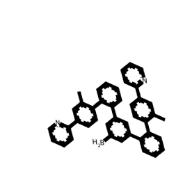 Bc1cc(-c2ccccc2-c2ccc(-c3ccccn3)cc2C)cc(-c2ccccc2-c2ccc(-c3ccccn3)cc2C)c1